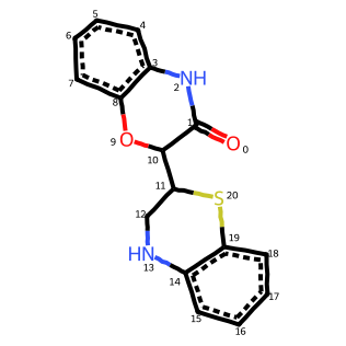 O=C1Nc2ccccc2OC1C1CNc2ccccc2S1